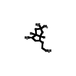 CC1(C)O[C@@H]2[C@H](O1)[C@@H](OCC(=O)O)C[C@H]2N